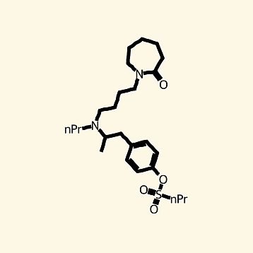 CCCN(CCCCN1CCCCCC1=O)C(C)Cc1ccc(OS(=O)(=O)CCC)cc1